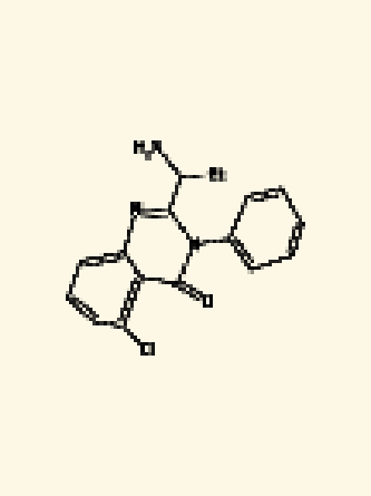 CCC(N)c1nc2cccc(Cl)c2c(=O)n1-c1ccccc1